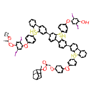 CCOC(C)Oc1cc(I)c(Oc2ccc([SH]3c4ccccc4-c4ccc(-c5ccc6c(c5)[SH](c5ccc(Oc7cc(I)c(O)cc7I)cc5)c5cc(-c7ccc8c(c7)[SH](c7ccc(Oc9ccc(OCC(=O)OC%10(C)C%11CC%12CC(C%11)CC%10C%12)cc9)cc7)c7ccccc7-8)ccc5-6)cc43)cc2)cc1I